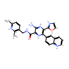 Cc1ccc(CNC(=O)c2nc(-c3ccc4ncccc4c3)c(-c3ncco3)nc2N)c(C)n1